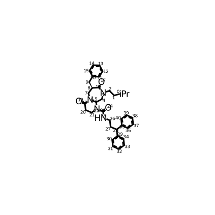 CC(C)CCN1CC2N(C[C@@H](Cc3ccccc3)C1=O)C(=O)CCN2C(=O)NCCC(c1ccccc1)c1ccccc1